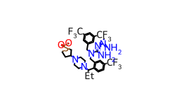 CCC(c1ccc(C(F)(F)F)cc1CN(Cc1cc(C(F)(F)F)cc(C(F)(F)F)c1)/C(N)=N/N(C)N)N1CCN(C2CCS(=O)(=O)C2)CC1